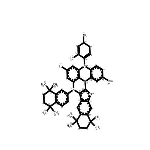 CCc1cc2c3c(c1)N(c1ccc4c(c1)C(C)(C)CCC4(C)C)c1c(oc4cc5c(cc14)C(C)(C)CCC5(C)C)B3c1cc(C(C)(C)C)ccc1N2C1=CCC(C(C)(C)C)C=C1C